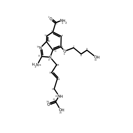 NC(=O)c1cc(OCCCO)c2c(c1)nc(N)n2CC=CCNC(=O)O